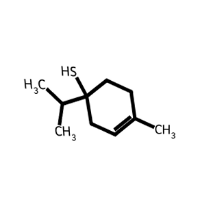 CC1=CCC(S)(C(C)C)CC1